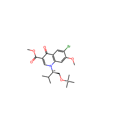 COC(=O)c1cn([C@@H](CO[Si](C)(C)C)C(C)C)c2cc(OC)c(Br)cc2c1=O